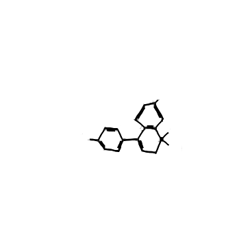 COc1ccc(C2=CCC(C)(C)c3cc(Br)ccc32)cc1